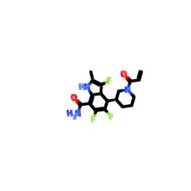 C=CC(=O)N1CCC[C@@H](C2C(F)=C(F)C(C(N)=O)=C3NC(C)=C(F)C32)C1